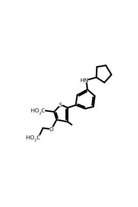 Cc1c(-c2cccc(NC3CCCC3)c2)sc(C(=O)O)c1OCC(=O)O